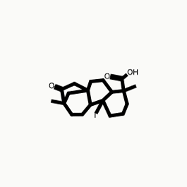 CC12CCC3C(CCC4C(C)(C(=O)O)CCCC34I)(CC1=O)C2